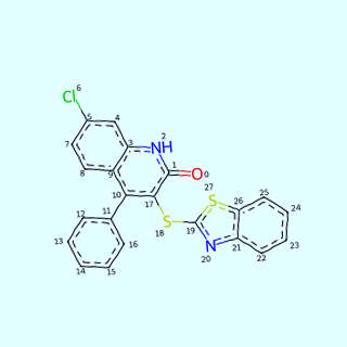 O=c1[nH]c2cc(Cl)ccc2c(-c2ccccc2)c1Sc1nc2ccccc2s1